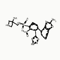 Nc1nc2c(-c3ccc(S(=O)(=O)NCC4(O)CNC4)c([SH](=O)=O)c3-c3nn[nH]n3)cccc2s1